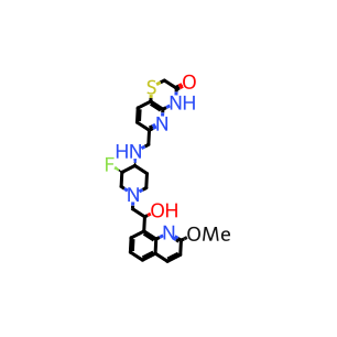 COc1ccc2cccc(C(O)CN3CC[C@H](NCc4ccc5c(n4)NC(=O)CS5)[C@H](F)C3)c2n1